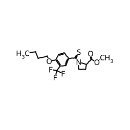 CCCCOc1ccc(C(=S)N2CCC2C(=O)OC)cc1C(F)(F)F